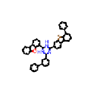 c1ccc(-c2cccc(C3N=C(c4ccc5c(c4)sc4c(-c6ccccc6)cccc45)NC(c4cccc5c4oc4ccccc45)N3)c2)cc1